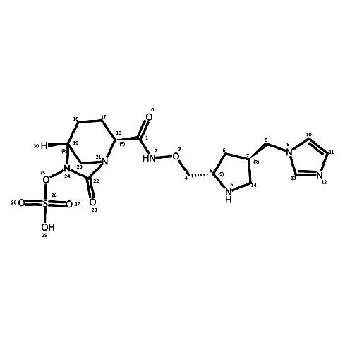 O=C(NOC[C@@H]1C[C@@H](Cn2ccnc2)CN1)[C@@H]1CC[C@@H]2CN1C(=O)N2OS(=O)(=O)O